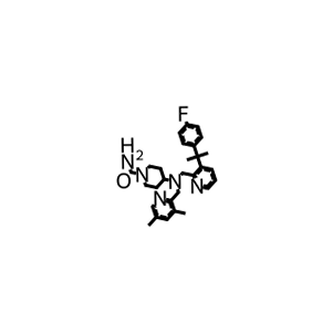 Cc1cnc(CN(Cc2ncccc2C(C)(C)c2ccc(F)cc2)C2CCN(C(N)=O)CC2)c(C)c1